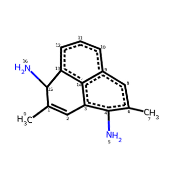 CC1=Cc2c(N)c(C)cc3cccc(c23)C1N